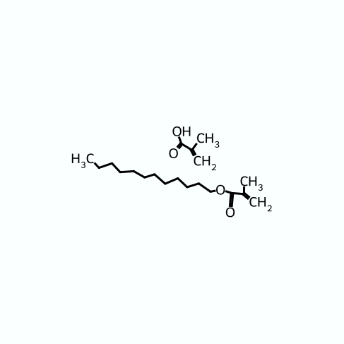 C=C(C)C(=O)O.C=C(C)C(=O)OCCCCCCCCCCCC